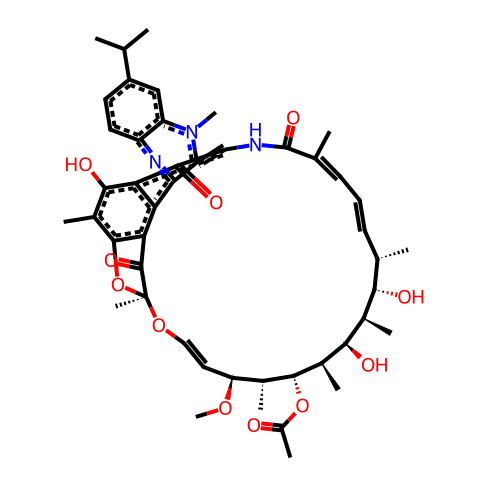 CO[C@H]1/C=C/O[C@@]2(C)Oc3c(C)c(O)c4c(=O)c(c5n(C)c6cc(C(C)C)ccc6nc-5c4c3C2=O)NC(=O)/C(C)=C\C=C\[C@H](C)[C@H](O)[C@@H](C)[C@@H](O)[C@@H](C)[C@H](OC(C)=O)[C@@H]1C